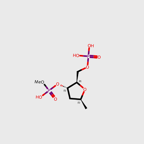 COP(=O)(O)O[C@H]1C[C@H](C)O[C@@H]1COP(=O)(O)O